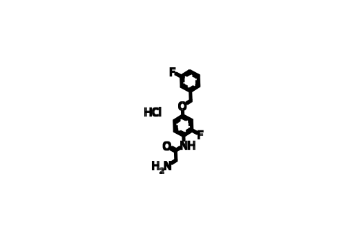 Cl.NCC(=O)Nc1ccc(OCc2cccc(F)c2)cc1F